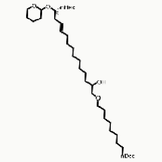 CCCCCCCCCCCCCCCCCCOCC(O)CCCCCCCCC=CC[C@@H](CCCCCC)OC1CCCCO1